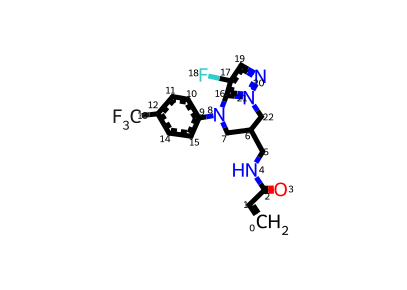 C=CC(=O)NCC1CN(c2ccc(C(F)(F)F)cc2)c2c(F)cnn2C1